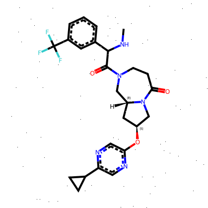 CNC(C(=O)N1CCC(=O)N2C[C@@H](Oc3cnc(C4CC4)cn3)C[C@@H]2C1)c1cccc(C(F)(F)F)c1